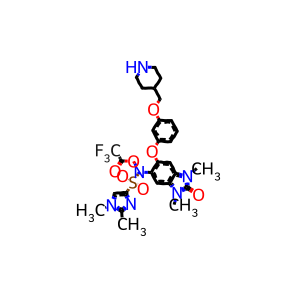 Cc1nc(S(=O)(=O)N(OC(=O)C(F)(F)F)c2cc3c(cc2Oc2cccc(OCC4CCNCC4)c2)n(C)c(=O)n3C)cn1C